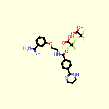 N=C(N)c1cccc(OCCNC(=O)c2ccc(C3=NCCCN3)cc2)c1.O=C(O)C(F)(F)F.O=C(O)C(F)(F)F